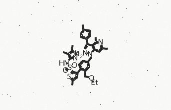 C=C(c1ccc(C)cc1)c1c(N(N)Cc2ccc(-c3cc(C)sc3S(=O)(=O)Nc3noc(C)c3C)c(COCC)c2)cc(C)nc1C